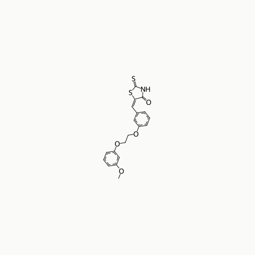 COc1cccc(OCCOc2cccc(/C=C3/SC(=S)NC3=O)c2)c1